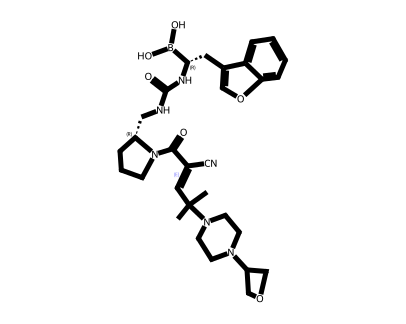 CC(C)(/C=C(\C#N)C(=O)N1CCC[C@@H]1CNC(=O)N[C@@H](Cc1coc2ccccc12)B(O)O)N1CCN(C2COC2)CC1